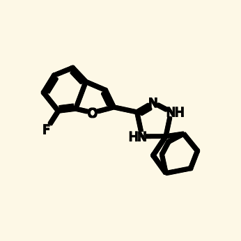 Fc1cccc2cc(C3=NNC4(CC5CCC4CC5)N3)oc12